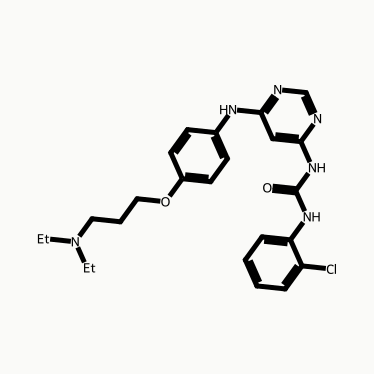 CCN(CC)CCCOc1ccc(Nc2cc(NC(=O)Nc3ccccc3Cl)ncn2)cc1